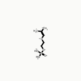 CC(C)=COCCOP(=O)(O)O